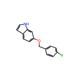 Fc1ccc(COc2ccc3cc[nH]c3c2)cc1